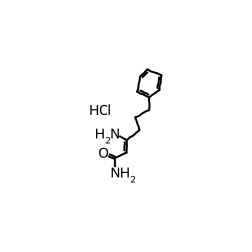 Cl.NC(=O)/C=C(\N)CCCc1ccccc1